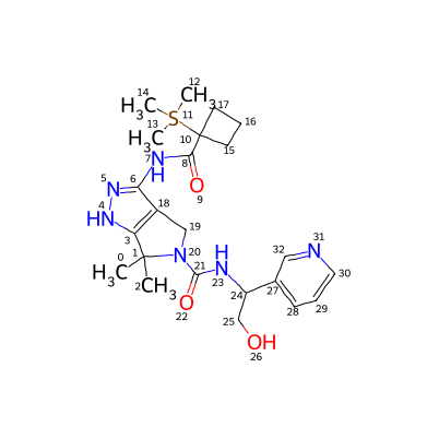 CC1(C)c2[nH]nc(NC(=O)C3(S(C)(C)C)CCC3)c2CN1C(=O)NC(CO)c1cccnc1